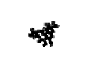 CCN(CC)C(=O)C(C#N)=Cc1cc(OC(=O)OC2=C(C)OC(C)C2=O)c(O)c([N+](=O)[O-])c1